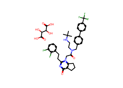 CC(C)(C)NCCN(Cc1ccc(-c2ccc(C(F)(F)F)cc2)cc1)C(=O)Cn1c(CCc2cccc(F)c2F)nc(=O)c2c1CCC2.O=C(O)C(O)C(O)C(=O)O